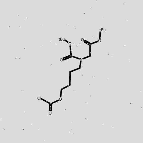 CC(C)(C)OC(=O)CN(CCCCOC(=O)Cl)C(=O)OC(C)(C)C